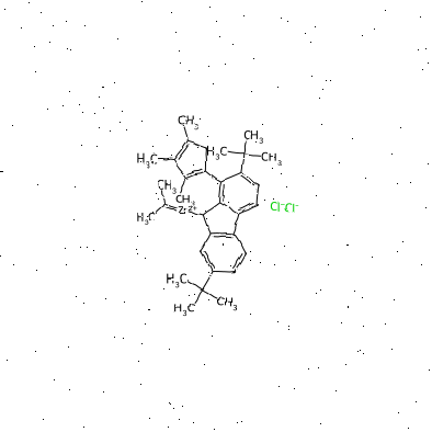 C[C](C)=[Zr+2][CH]1c2cc(C(C)(C)C)ccc2-c2ccc(C(C)(C)C)c(C3=C(C)C(C)=C(C)C3)c21.[Cl-].[Cl-]